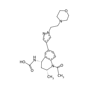 CC(=O)N1c2ccc(-c3cnn(CCN4CCOCC4)c3)cc2[C@@H](NC(=O)O)C[C@H]1C